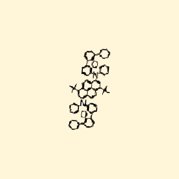 CC(C)(C)c1cc(N(c2ccccc2)c2cccc3c2oc2c(C4CCCCC4)cccc23)c2ccc3c(C(C)(C)C)cc(N(c4ccccc4)c4cccc5c4oc4c(C6CCCCC6)cccc45)c4ccc1c2c43